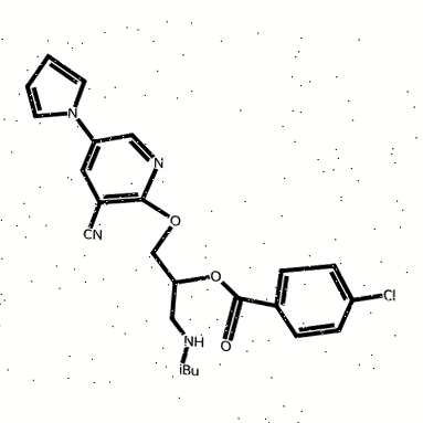 CCC(C)NCC(COc1ncc(-n2cccc2)cc1C#N)OC(=O)c1ccc(Cl)cc1